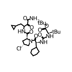 CC(C)(C)OC(=O)[C@H](NC(=O)N[C@H](C(=O)N1C[C@H](Cl)C[C@H]1C(=O)NC(CC1CC1)C(=O)C(N)=O)C1CCCCC1)C(C)(C)C